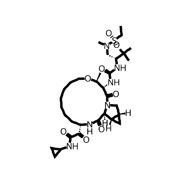 CCS(=O)(=O)N(C)C[C@@H](NC(=O)N[C@@H]1C(=O)N2C[C@@H]3C[C@@H]3[C@H]2C(=O)N[C@H](C(=O)C(=O)NC2CC2)CCCCCCCO[C@H]1C)C(C)(C)C